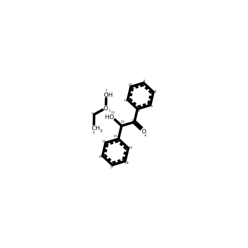 CCOO.O=C(c1ccccc1)C(O)c1ccccc1